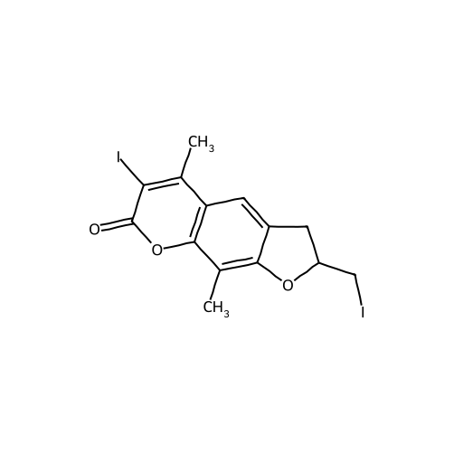 Cc1c(I)c(=O)oc2c(C)c3c(cc12)CC(CI)O3